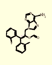 Cc1ccccc1/C(=C(/Cn1cnc2c(N)ncnc21)OC=O)c1ccccc1F